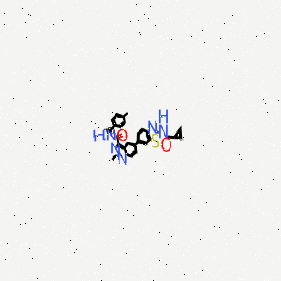 Cc1ccc([C@H](C)NC(=O)c2nc(C)nc3ccc(-c4ccc5nc(NC(=O)C6CC6)sc5c4)cc23)cc1